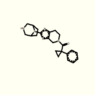 O=C(N1CCc2nc(N3C4CCC3CNC4)sc2C1)C1(c2ccccc2)CC1